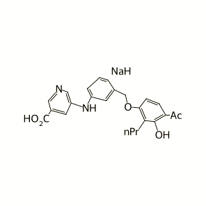 CCCc1c(OCc2cccc(Nc3cncc(C(=O)O)c3)c2)ccc(C(C)=O)c1O.[NaH]